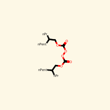 CCCCCC(CCC)COC(=O)OOC(=O)OCC(CCC)CCCCC